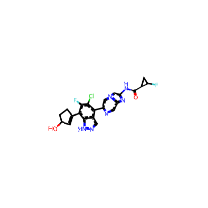 O=C(Nc1cn2cc(-c3c(Cl)c(F)c(C4=CC(O)CC4)c4[nH]ncc34)ncc2n1)C1CC1F